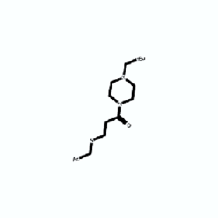 CC(=O)CSCCC(=O)N1CCN(CC(C)(C)C)CC1